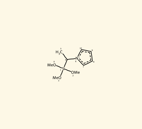 CO[Si](OC)(OC)C(C)n1cccc1